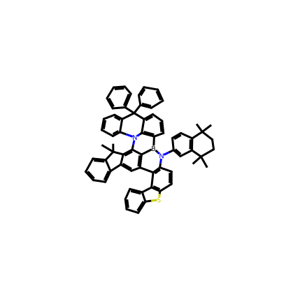 CC1(C)CCC(C)(C)c2cc(N3B4c5cccc6c5N(c5ccccc5C6(c5ccccc5)c5ccccc5)c5c4c(cc4c5C(C)(C)c5ccccc5-4)-c4c3ccc3sc5ccccc5c43)ccc21